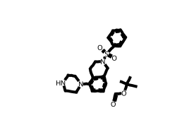 CC(C)(C)OC=O.O=S(=O)(c1ccccc1)N1CCc2c(cccc2N2CCNCC2)C1